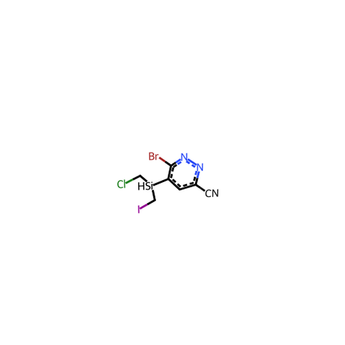 N#Cc1cc([SiH](CCl)CI)c(Br)nn1